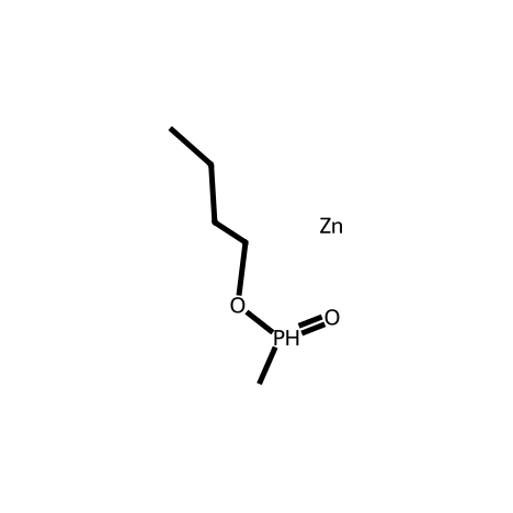 CCCCO[PH](C)=O.[Zn]